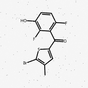 Cc1cc(C(=O)c2c(F)ccc(O)c2F)sc1Br